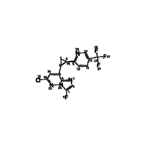 Fc1cnc2c(C3C[C@H]3c3ccc(C(F)(F)F)cn3)cc(Cl)nn12